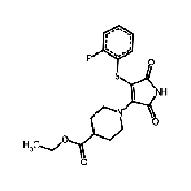 CCOC(=O)C1CCN(C2=C(Sc3ccccc3F)C(=O)NC2=O)CC1